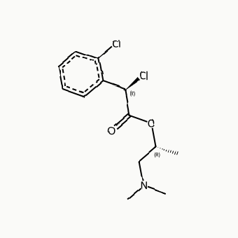 C[C@H](CN(C)C)OC(=O)[C@H](Cl)c1ccccc1Cl